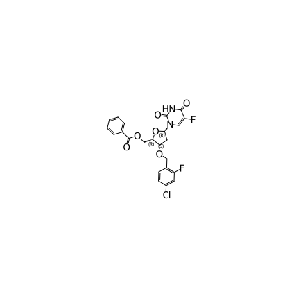 O=C(OC[C@H]1O[C@@H](n2cc(F)c(=O)[nH]c2=O)C[C@@H]1OCc1ccc(Cl)cc1F)c1ccccc1